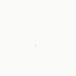 NC1(c2ccccc2)NC(Cl)(c2ccccc2)C(Cl)(Cl)C1(Cl)c1ccccc1